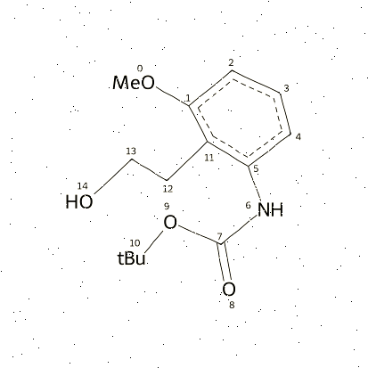 COc1cccc(NC(=O)OC(C)(C)C)c1CCO